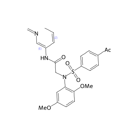 C=N/C=C(\C=C/C)NC(=O)CN(c1cc(OC)ccc1OC)S(=O)(=O)c1ccc(C(C)=O)cc1